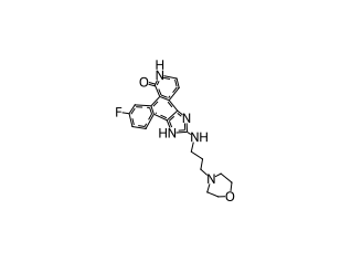 O=c1[nH]ccc2c3nc(NCCCN4CCOCC4)[nH]c3c3ccc(F)cc3c12